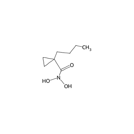 CCCCC1(C(=O)N(O)O)CC1